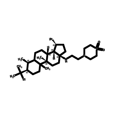 CCC(C)(C)[C@@H]1CCC2(C)C(CC[C@@H]3[C@H]4[C@H](C(C)C)CC[C@]4(NCCN4CCS(=O)(=O)CC4)CC[C@]32C)[C@@H]1C